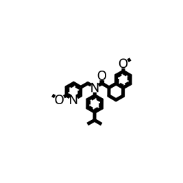 COc1ccc2c(c1)C(C(=O)N(Cc1ccc(OC)nc1)c1ccc(C(C)C)cc1)CCC2